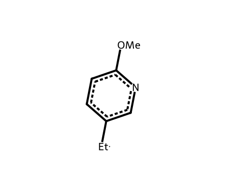 C[CH]c1ccc(OC)nc1